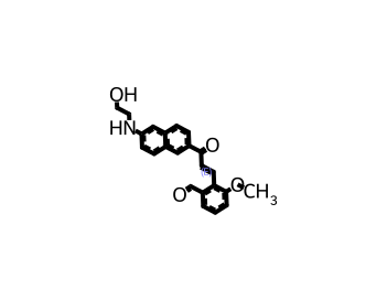 COc1cccc(C=O)c1/C=C/C(=O)c1ccc2cc(NCCO)ccc2c1